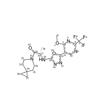 COc1nc(C(F)(F)F)ncc1-c1nnc(N[C@@H](C)C(=O)N2CCC3(CC2)CC3)o1